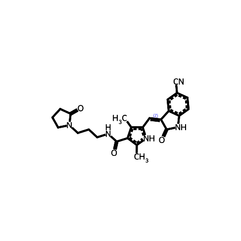 Cc1[nH]c(/C=C2\C(=O)Nc3ccc(C#N)cc32)c(C)c1C(=O)NCCCN1CCCC1=O